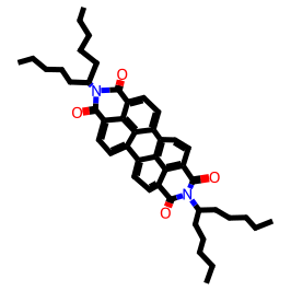 CCCCCC(CCCCC)N1C(=O)c2ccc3c4ccc5c6c(ccc(c7ccc(c2c37)C1=O)c64)C(=O)N(C(CCCCC)CCCCC)C5=O